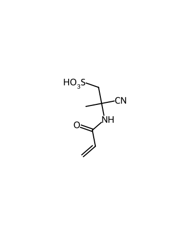 C=CC(=O)NC(C)(C#N)CS(=O)(=O)O